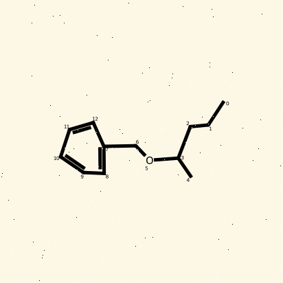 CCCC(C)OCc1ccccc1